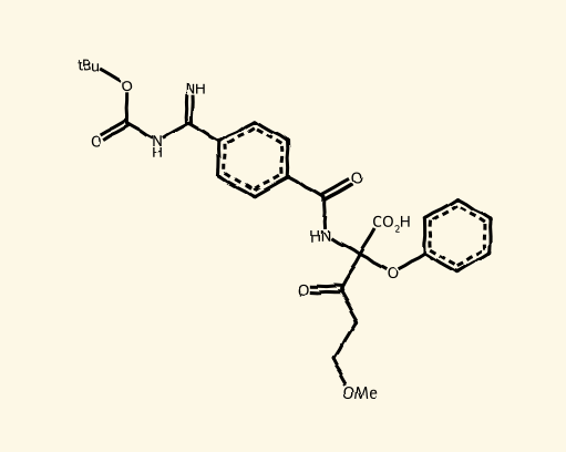 COCCC(=O)C(NC(=O)c1ccc(C(=N)NC(=O)OC(C)(C)C)cc1)(Oc1ccccc1)C(=O)O